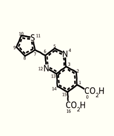 O=C(O)c1cc2ncc(-c3cccs3)nc2cc1C(=O)O